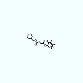 CC1=C(C)C(C)(C)CC(OC(=O)CCC(=O)OCC2CCCCC2)C1=O